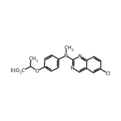 CCOC(=O)C(C)Oc1ccc(N(C)c2ncc3cc(Cl)ccc3n2)cc1